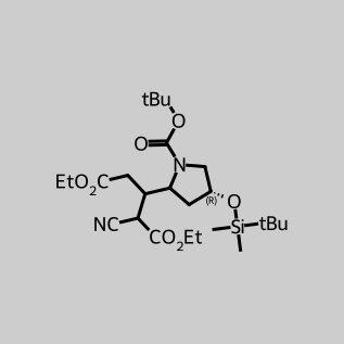 CCOC(=O)CC(C(C#N)C(=O)OCC)C1C[C@@H](O[Si](C)(C)C(C)(C)C)CN1C(=O)OC(C)(C)C